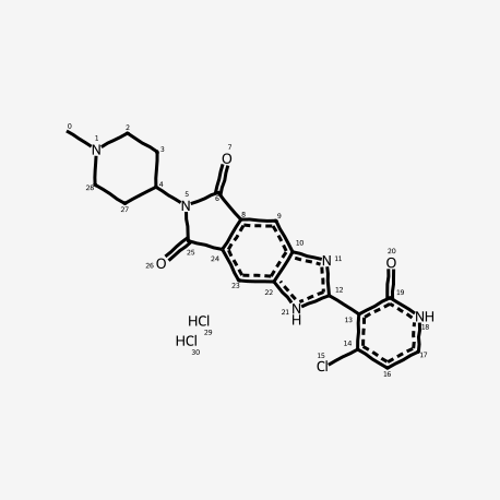 CN1CCC(N2C(=O)c3cc4nc(-c5c(Cl)cc[nH]c5=O)[nH]c4cc3C2=O)CC1.Cl.Cl